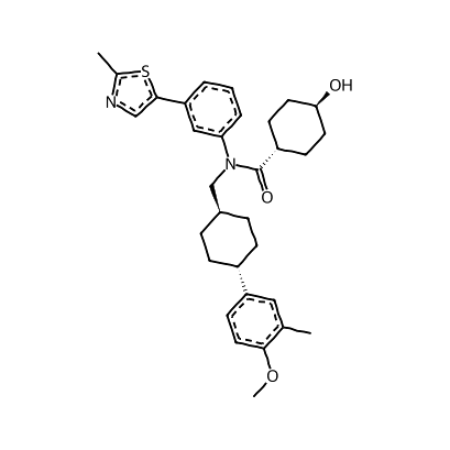 COc1ccc([C@H]2CC[C@H](CN(c3cccc(-c4cnc(C)s4)c3)C(=O)[C@H]3CC[C@H](O)CC3)CC2)cc1C